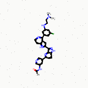 CC(C)C(=O)Nc1cncc(-c2ccc3[nH]nc(-c4cc5c(-c6cc(F)cc(NCCN(C)C)c6)nccc5[nH]4)c3n2)c1